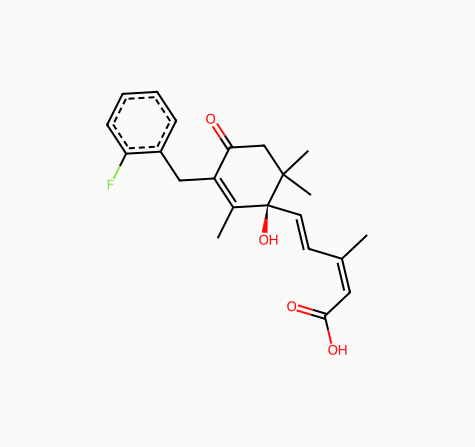 CC1=C(Cc2ccccc2F)C(=O)CC(C)(C)[C@]1(O)/C=C/C(C)=C\C(=O)O